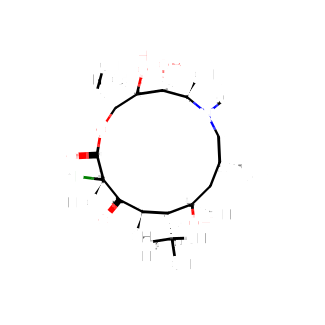 CC[C@H]1OC(=O)[C@@](C)(F)C(=O)[C@H](C)[C@@H](C(C)(C)C)[C@](C)(O)C[C@@H](C)CN(C)[C@H](C)[C@@H](O)[C@]1(C)O